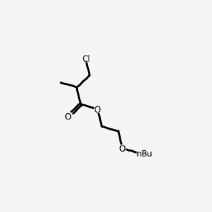 CCCCOCCOC(=O)C(C)CCl